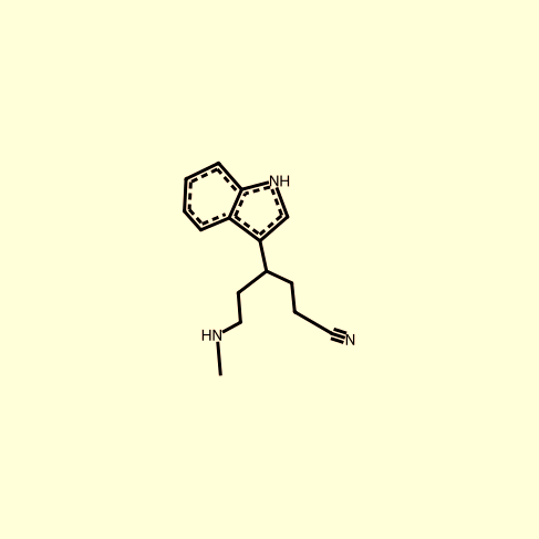 CNCCC(CCC#N)c1c[nH]c2ccccc12